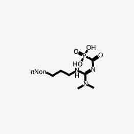 CCCCCCCCCCCCN/C(=N\C(=O)P(=O)(O)O)N(C)C